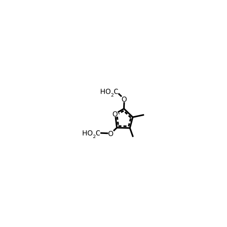 Cc1c(OC(=O)O)oc(OC(=O)O)c1C